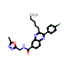 Cc1nnc(CNC(=O)c2ccc3nc(-c4ccc(F)cc4)c(CCCCC(=O)O)nc3c2)o1